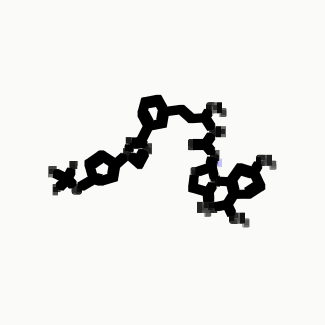 Cc1ccc(C(C)C)c(N2C(=O)CS/C2=N\C(=S)NC(C)CCc2cccc(-c3ncn(-c4ccc(OC(F)(F)F)cc4)n3)c2)c1